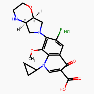 COc1c(N2C[C@@H]3OCCN[C@@H]3C2)c(F)cc2c(=O)c(C(=O)O)cn(C3CC3)c12.Cl